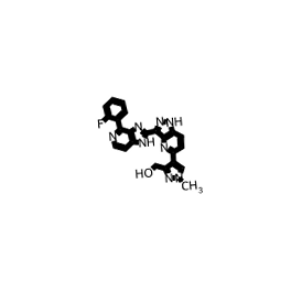 Cn1cc(-c2ccc3[nH]nc(-c4nc5c(-c6ccccc6F)nccc5[nH]4)c3n2)c(CO)n1